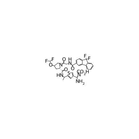 CC(NC(=O)[C@@H]1C[C@@H](OC(F)F)CN1C(=O)CNC(=O)c1ccc2c(c1)-c1ccccc1C2(F)F)c1cc(/C(N)=N\C(=O)O)cs1